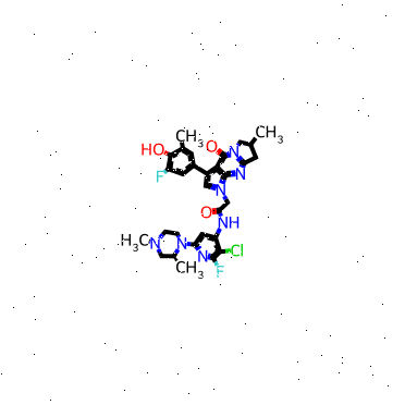 Cc1cc(-c2cn(CC(=O)Nc3cc(N4CCN(C)C[C@@H]4C)nc(F)c3Cl)c3nc4n(c(=O)c23)CC(C)C4)cc(F)c1O